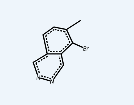 Cc1ccc2cnncc2c1Br